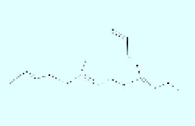 C=CCC/C(=C\CCl)CC/C=C(\C)CCC=C(C)C